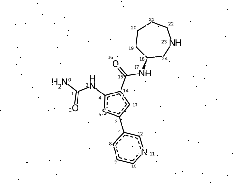 NC(=O)Nc1sc(-c2cccnc2)cc1C(=O)N[C@H]1CCCCNC1